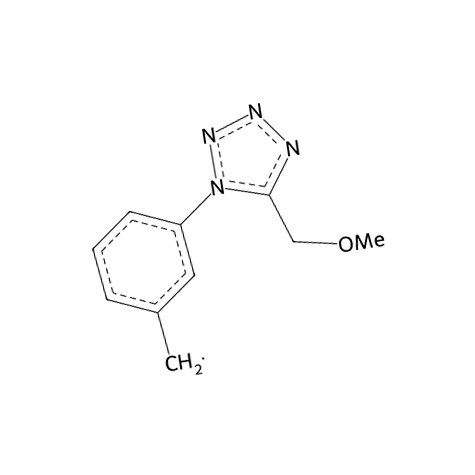 [CH2]c1cccc(-n2nnnc2COC)c1